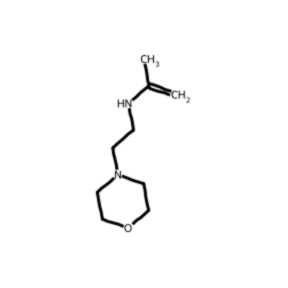 C=C(C)NCCN1CCOCC1